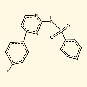 O=S(=O)(Nc1nccc(-c2ccc(F)cc2)n1)c1ccccc1